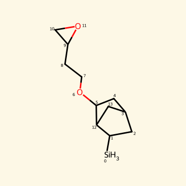 [SiH3]C1CC2CC(OCCC3CO3)C1C2